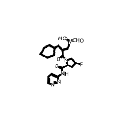 O=CN(O)CC(CC1CCCCC1)C(=O)N1CC(F)CC1C(=O)Nc1cccnn1